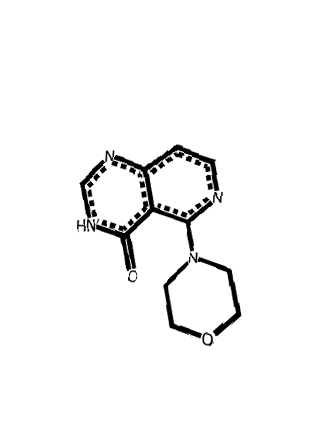 O=c1[nH]cnc2ccnc(N3CCOCC3)c12